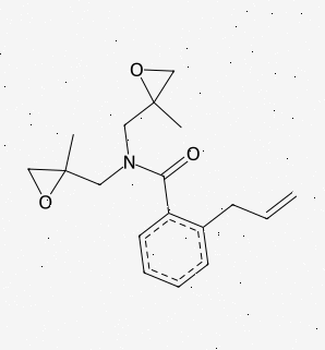 C=CCc1ccccc1C(=O)N(CC1(C)CO1)CC1(C)CO1